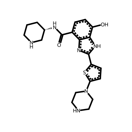 O=C(N[C@H]1CCCNC1)c1ccc(O)c2[nH]c(-c3ccc(N4CCNCC4)s3)nc12